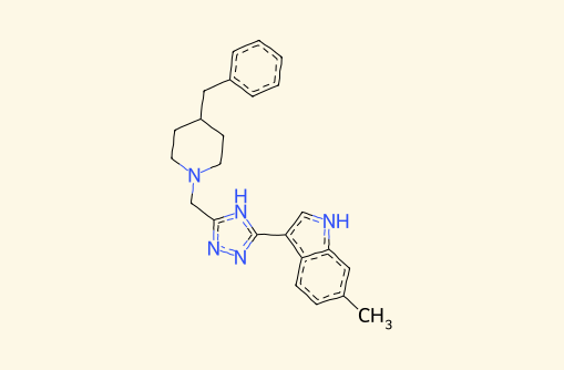 Cc1ccc2c(-c3nnc(CN4CCC(Cc5ccccc5)CC4)[nH]3)c[nH]c2c1